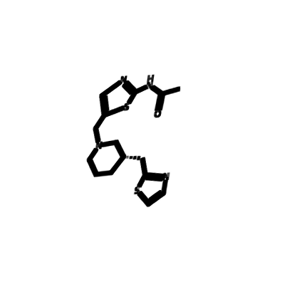 CC(=O)Nc1ncc(CN2CCC[C@@H](Cc3nccs3)C2)s1